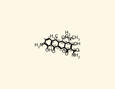 C[C@H]1c2ccc(N)c(O)c2C(=O)C2=C[C@]3(O)C(=O)C(C(N)=O)=C(O)[C@@H](N(C)C)C3[C@@H](O)C21